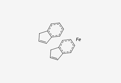 C1=Cc2ccccc2C1.C1=Cc2ccccc2C1.[Fe]